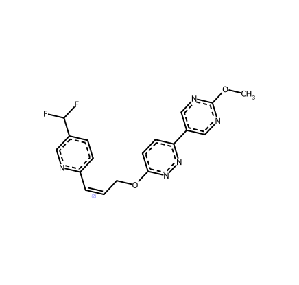 COc1ncc(-c2ccc(OC/C=C\c3ccc(C(F)F)cn3)nn2)cn1